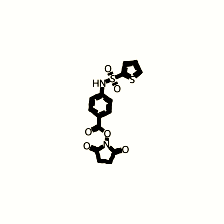 O=C(ON1C(=O)CCC1=O)c1ccc(NS(=O)(=O)c2cccs2)cc1